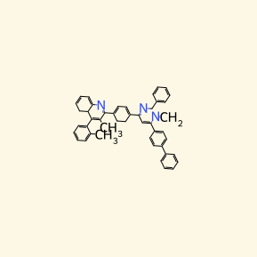 C=N/C(=C\C(=N/Cc1ccccc1)C1=CC=C(C2=NC3=CC=CCC3C(c3ccccc3C)=C2C)CC1)c1ccc(-c2ccccc2)cc1